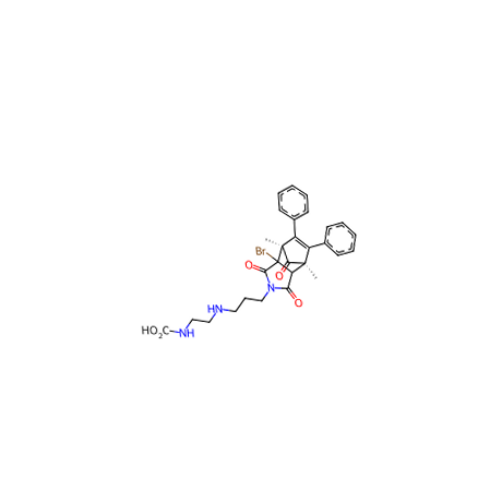 C[C@]12C(=O)[C@](C)(C(c3ccccc3)=C1c1ccccc1)C1(Br)C(=O)N(CCCNCCNC(=O)O)C(=O)C12